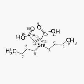 CCC[CH2][Sn][CH2]CCC.O=C(O)/C=C\C(=O)O